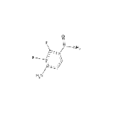 NC(=O)c1ccc(N)c(F)c1F